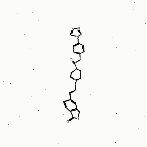 O=C1OCc2cc(CCN3CCC(C(=O)Cc4ccc(-n5cnnn5)cc4)CC3)ccc21